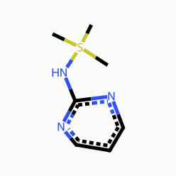 CS(C)(C)Nc1ncccn1